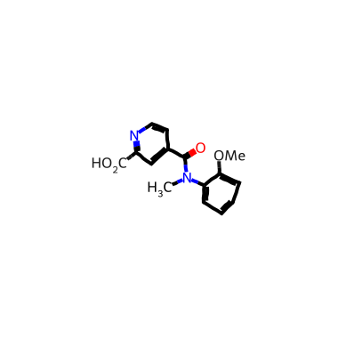 COc1ccccc1N(C)C(=O)c1ccnc(C(=O)O)c1